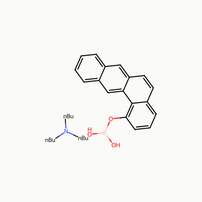 CCCCN(CCCC)CCCC.OB(O)Oc1cccc2ccc3cc4ccccc4cc3c12